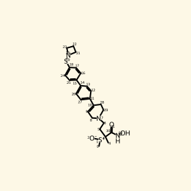 C[S+]([O-])C(C)(CCN1CC=C(c2ccc(-c3ccc(SN4CCC4)cc3)cc2)CC1)C(=O)NO